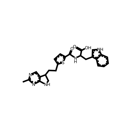 Cc1ncc2c(n1)NCC2CCc1ccc(C(=O)NC(Cc2c[nH]c3ccccc23)C(=O)O)s1